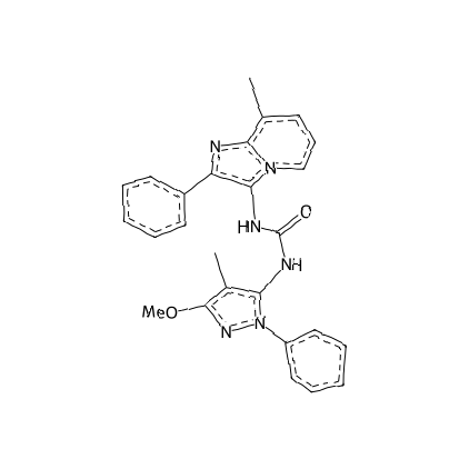 COc1nn(-c2ccccc2)c(NC(=O)Nc2c(-c3ccccc3)nc3c(C)cccn23)c1C